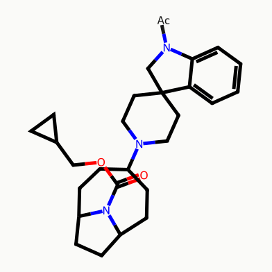 CC(=O)N1CC2(CCN(C3CCC4CCC(CC3)N4C(=O)OCC3CC3)CC2)c2ccccc21